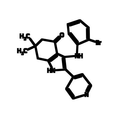 CC1(C)CC(=O)c2c([nH]c(-c3ccncc3)c2Nc2ccccc2Br)C1